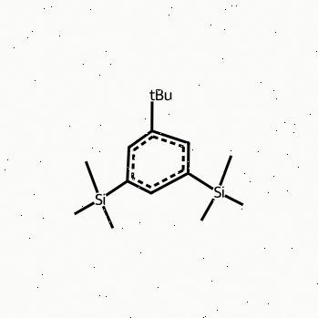 CC(C)(C)c1cc([Si](C)(C)C)cc([Si](C)(C)C)c1